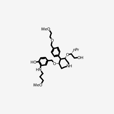 CCC[C@H](CO)O[C@@H]1CNC[C@H](OCc2ccc(O)c(NCCCOC)c2)C1c1ccc(COCCOC)cc1